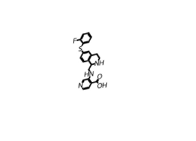 O=C(O)c1ccncc1NCC1NCCc2cc(Sc3ccccc3F)ccc21